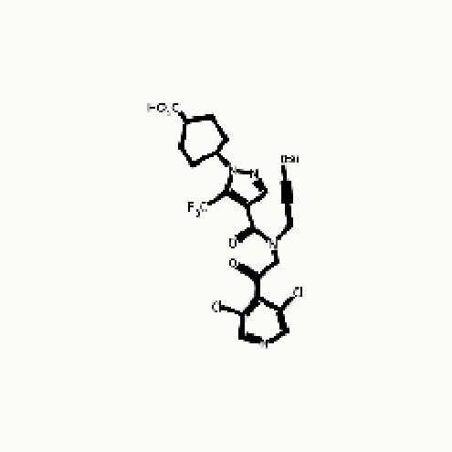 CC(C)(C)C#CCN(CC(=O)c1c(Cl)cncc1Cl)C(=O)c1cnn(C2CCC(C(=O)O)CC2)c1C(F)(F)F